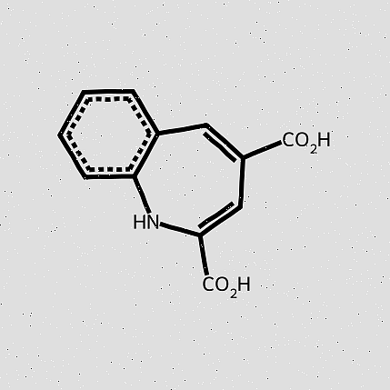 O=C(O)C1=Cc2ccccc2NC(C(=O)O)=C1